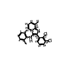 Cc1cccc(C)c1Nc1c(-c2cccc(Cl)c2Cl)nc2c(C)cccn12